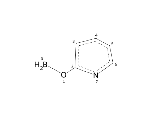 BOc1ccccn1